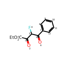 CCOC(=O)C(=O)C(F)C(=O)c1ccccc1